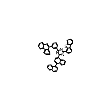 c1cc(-c2nc(-c3ccc(-c4cccc5ccccc45)c4ccccc34)nc(-c3cccc4c3sc3ccccc34)n2)cc(-c2cc3ccccc3c3ccccc23)c1